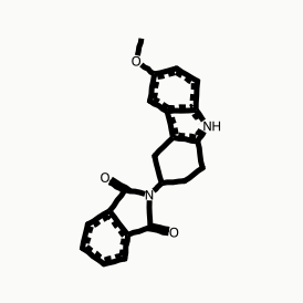 COc1ccc2[nH]c3c(c2c1)CC(N1C(=O)c2ccccc2C1=O)CC3